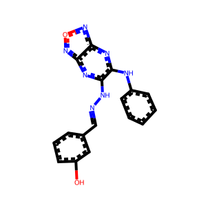 Oc1cccc(C=NNc2nc3nonc3nc2Nc2ccccc2)c1